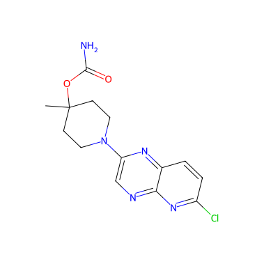 CC1(OC(N)=O)CCN(c2cnc3nc(Cl)ccc3n2)CC1